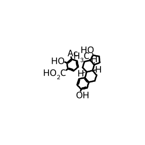 CC(=O)c1cccc(C(=O)O)c1O.C[C@]12CC[C@@H]3c4ccc(O)cc4CC[C@H]3[C@@H]1CC[C@@H]2O